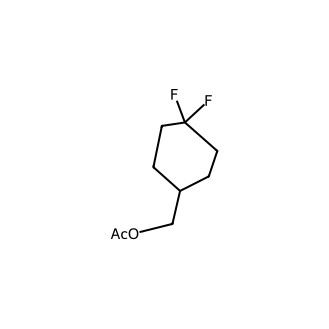 CC(=O)OCC1CCC(F)(F)CC1